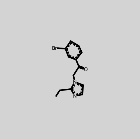 CCc1nccn1CC(=O)c1cccc(Br)c1